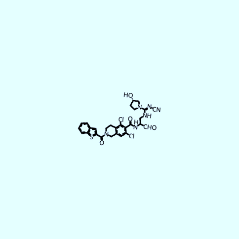 N#C/N=C(\NCC(C=O)NC(=O)c1c(Cl)cc2c(c1Cl)CCN(C(=O)c1cc3ccccc3s1)C2)N1CC[C@H](O)C1